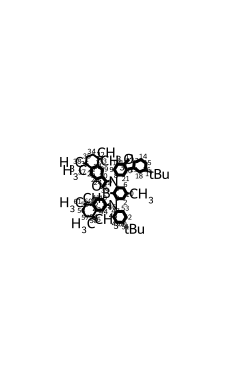 Cc1cc2c3c(c1)N(c1ccc4oc5ccc(C(C)(C)C)cc5c4c1)c1c(oc4cc5c(cc14)C(C)(C)CCC5(C)C)B3c1cc3c(cc1N2c1ccc(C(C)(C)C)cc1)C(C)(C)CCC3(C)C